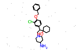 NC1CCN(CC(c2ccc(OCc3ccccc3)c(Cl)c2)C2(O)CCCCC2)CC1